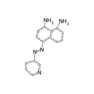 Nc1cccc2c(/N=N/c3cccnc3)ccc(N)c12